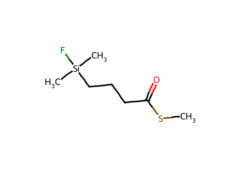 CSC(=O)CCC[Si](C)(C)F